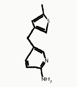 Cc1cc(Cc2ccc(N)nc2)cs1